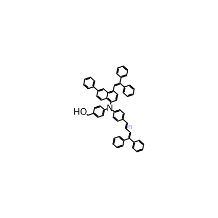 OCc1ccc(N(c2ccc(/C=C/C=C(c3ccccc3)c3ccccc3)cc2)c2ccc(C=C(c3ccccc3)c3ccccc3)c3cc(-c4ccccc4)ccc23)cc1